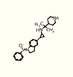 CC(C)(NC1CC1c1ccc2c(c1)CCN2[S+]([O-])c1ccccc1)C1CCNCC1